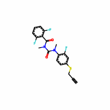 C#CCSc1ccc(N(C)C(=O)N(C)C(=O)c2c(F)cccc2F)c(F)c1